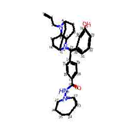 C=CCN1C2CCC3C1CCC2N3C(c1ccc(C(=O)NN2CCCCCC2)cc1)c1cccc(O)c1